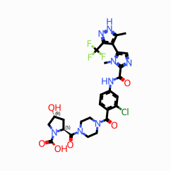 Cc1[nH]nc(C(F)(F)F)c1-c1cnc(C(=O)Nc2ccc(C(=O)N3CCN(C(=O)[C@@H]4C[C@@H](O)CN4C(=O)O)CC3)c(Cl)c2)n1C